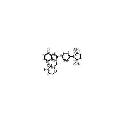 C[C@H]1CC[C@H](C)N1c1ccc(-c2nc3c(Cl)ccc(O)c3n2CC2CNCCO2)cn1